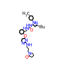 Cc1ccc(-n2nc(C(C)(C)C)cc2NC(=O)NCc2ccccc2Oc2ccnc(NCCCN3CCCC3=O)n2)cc1